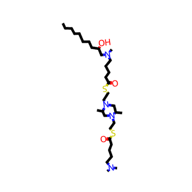 CCCCCCCCC(O)CN(C)CCCCC(=O)SCCN1CC(C)N(CCSC(=O)CCCCN(C)C)CC1C